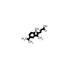 Cc1c(CCC(=O)O)n(C)c2ccc(C(C)C)cc12